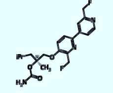 CC(C)C[C@@](C)(COc1ccc(-c2ccnc(CF)c2)nc1CF)OC(N)=O